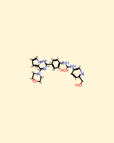 OCc1ccc(NC(O)Nc2ccc(-c3nc(N4CCOCC4)c4cccn4n3)cc2)cn1